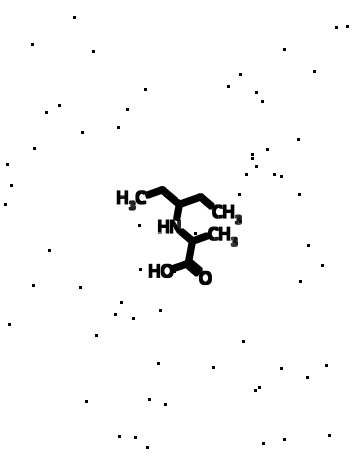 CCC(CC)NC(C)C(=O)O